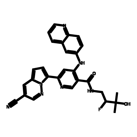 CC(C)(O)C(F)CNC(=O)c1cnc(-c2ccc3cc(C#N)cnn23)cc1Nc1ccc2ncccc2c1